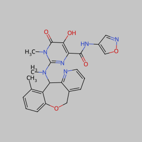 Cc1cccc2c1C(N(C)c1nc(C(=O)Nc3cnoc3)c(O)c(=O)n1C)c1ncccc1CO2